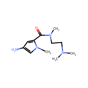 CN(C)CCN(C)C(=O)c1cc(N)cn1C